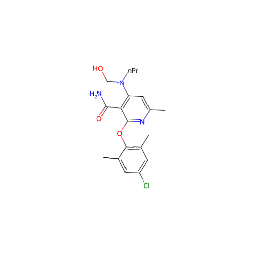 CCCN(CO)c1cc(C)nc(Oc2c(C)cc(Cl)cc2C)c1C(N)=O